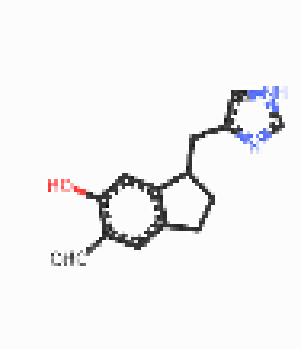 O=Cc1cc2c(cc1O)C(Cc1c[nH]cn1)CC2